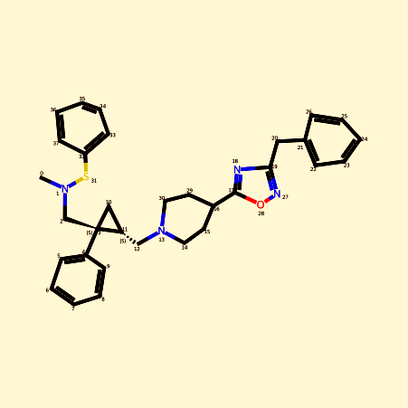 CN(C[C@@]1(c2ccccc2)C[C@@H]1CN1CCC(c2nc(Cc3ccccc3)no2)CC1)Sc1ccccc1